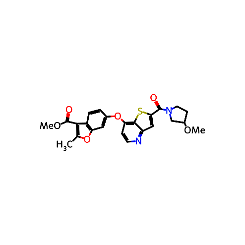 COC(=O)c1c(C)oc2cc(Oc3ccnc4cc(C(=O)N5CCC(OC)C5)sc34)ccc12